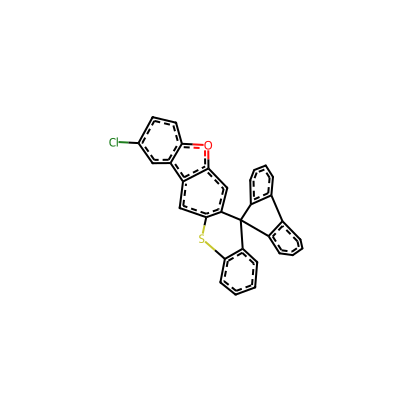 Clc1ccc2oc3cc4c(cc3c2c1)Sc1ccccc1C41c2ccccc2-c2ccccc21